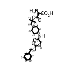 CN(CC(=O)N[C@H]1CC[C@H](CC(C)(C)OC(=O)[C@@H](N)C(=O)O)CC1)C(=O)OCc1ccccc1